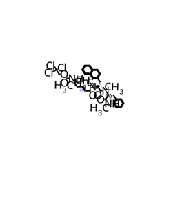 CNC(=O)[C@@H](Cc1ccccc1)N(C)C(=O)[C@@H](Cc1ccc2ccccc2c1)N(C)C(=O)/C=C/CC(C)(C)NC(=O)OCC(Cl)(Cl)Cl